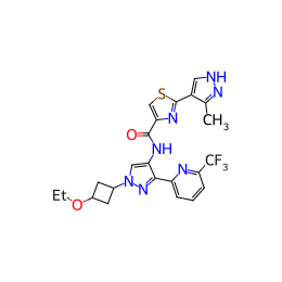 CCOC1CC(n2cc(NC(=O)c3csc(-c4c[nH]nc4C)n3)c(-c3cccc(C(F)(F)F)n3)n2)C1